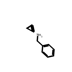 C1#CC1.NCc1ccccc1